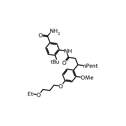 CCCCCC(CC(=O)Nc1cc(C(N)=O)ccc1C(C)(C)C)c1ccc(OCCCOCC)cc1OC